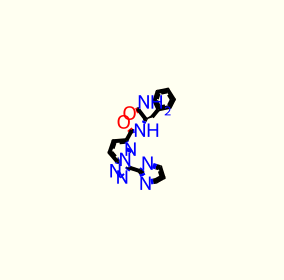 NC(=O)[C@@H](Cc1ccccc1)NC(=O)c1ccc2nnc(-c3ncccn3)n2n1